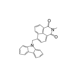 CN1C(=O)c2cccc3c(Cn4c5ccccc5c5ccccc54)ccc(c23)C1=O